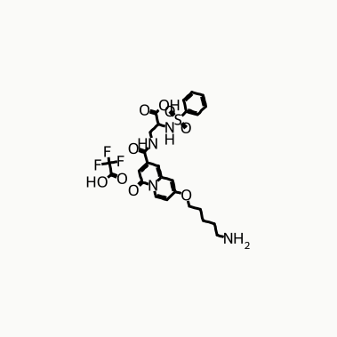 NCCCCCOc1ccn2c(=O)cc(C(=O)NCC(NS(=O)(=O)c3ccccc3)C(=O)O)cc2c1.O=C(O)C(F)(F)F